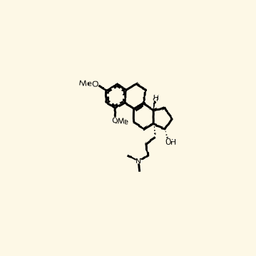 COc1cc2c(c(OC)c1)C1=C(CC2)[C@@H]2CC[C@H](O)[C@@]2(CCCN(C)C)CC1